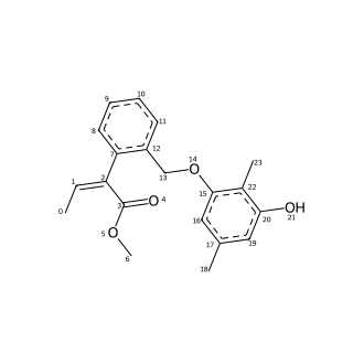 CC=C(C(=O)OC)c1ccccc1COc1cc(C)cc(O)c1C